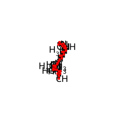 C#Cc1ccc(C2(NC(=O)[C@@H]3C[C@@H](O)CN3C(=O)[C@@H](NC(=O)N3CC4(CC(N5CCC(N6CCC(N7CCc8[nH]c9nnc(-c%10ccccc%10O)cc9c8[C@H]7C)CC6)CC5)C4)C3)C(C)(C)C)CC2)cc1